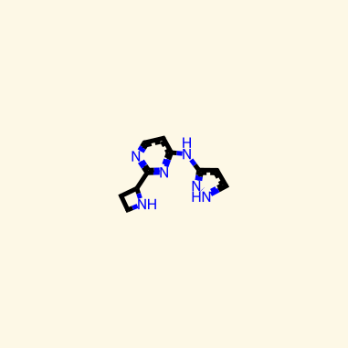 c1cc(Nc2cc[nH]n2)nc(C2CCN2)n1